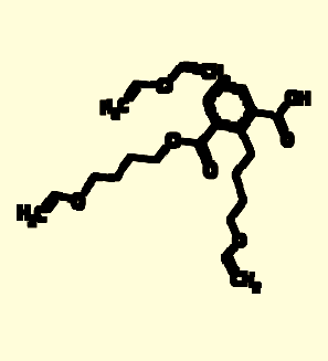 C=COC=C.C=COCCCCOC(=O)c1cccc(C(=O)O)c1CCCCOC=C